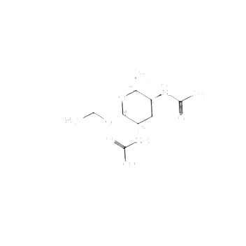 CCO[C@@H]1O[C@H](C)[C@@H](NC(C)=O)C[C@@H]1NC(C)=O